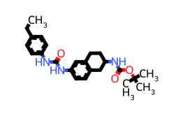 CCc1ccc(NC(=O)Nc2ccc3c(c2)CCC(NC(=O)OC(C)(C)C)C3)cc1